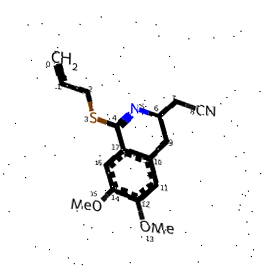 C=CCSC1=NC(CC#N)Cc2cc(OC)c(OC)cc21